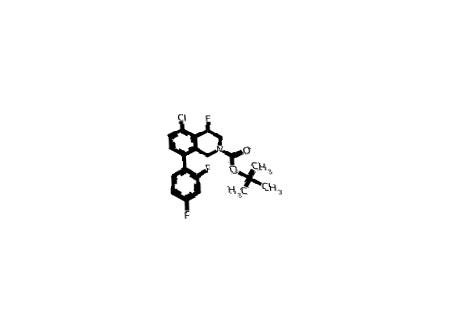 CC(C)(C)OC(=O)N1Cc2c(-c3ccc(F)cc3F)ccc(Cl)c2C(F)C1